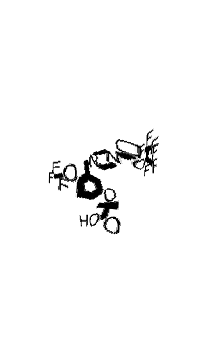 CC(C)(Oc1ccc(OC(F)(F)F)c(CN2CCN(C(=O)OC(C(F)(F)F)C(F)(F)F)CC2)c1)C(=O)O